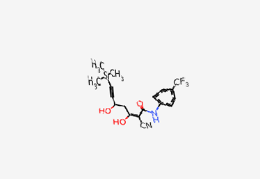 C[Si](C)(C)C#CC(O)C/C(O)=C(/C#N)C(=O)Nc1ccc(C(F)(F)F)cc1